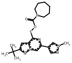 Cn1cc(-c2cn3nc(C(C)(C)C)cc3c(SOC(=O)N3CCCCCC3)n2)cn1